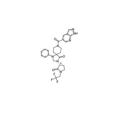 O=C(c1cnc2[nH]ncc2c1)N1CCC2(CC1)C(=O)N([C@@H]1CCN(CC(F)(F)F)C1=O)CN2c1ccccc1